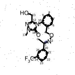 C/C(=N\OCc1ccccc1-n1c(CO)nn(C)c1=O)c1cccc(C(F)(F)F)c1